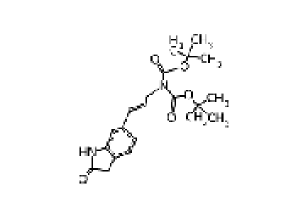 CC(C)(C)OC(=O)N(C/C=C/c1ccc2c(c1)NC(=O)C2)C(=O)OC(C)(C)C